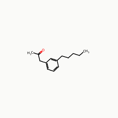 CCCCCc1cccc(CC(C)=O)c1